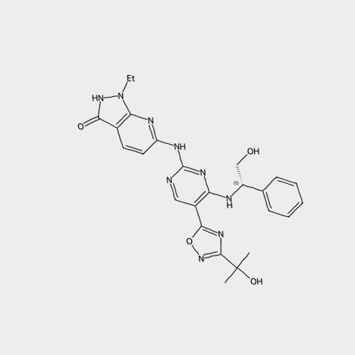 CCn1[nH]c(=O)c2ccc(Nc3ncc(-c4nc(C(C)(C)O)no4)c(N[C@H](CO)c4ccccc4)n3)nc21